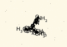 CC(C)(C)C(=O)OCOP(=O)(OCOC(=O)C(C)(C)C)c1ccc(Cn2cnc3nc(C(N)=O)ccc32)cc1